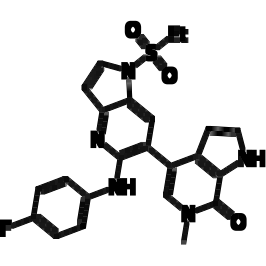 CCS(=O)(=O)n1ccc2nc(Nc3ccc(F)cc3)c(-c3cn(C)c(=O)c4[nH]ccc34)cc21